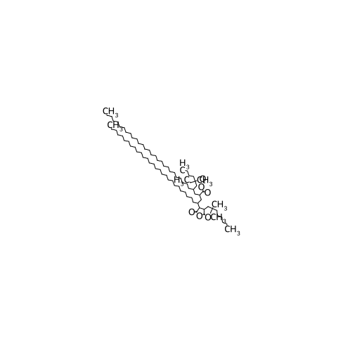 CCCCCCCCCCCCCCCCCCCCCCCCCCCCC(CC(CC(CCCCCCCCCCCCCCCCCCCCCCCCCCCC)C1C(=O)OC(=O)C1CC(C)(CC)CCCCCC)C(=O)OC=O)CC(C)(CC)CCCC